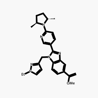 C=C(OC)c1ccc2c(c1)nc(-c1ccc(N3[C@@H](C)CC[C@@H]3C)nc1)n2Cc1ccn(CC)n1